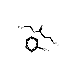 CCOC(=O)CCN.Cc1ccccc1